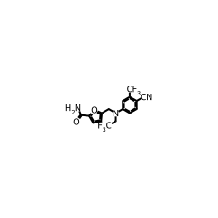 N#Cc1ccc(N(Cc2ccc(C(N)=O)o2)CC(F)(F)F)cc1C(F)(F)F